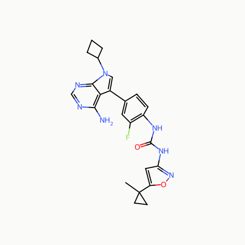 CC1(c2cc(NC(=O)Nc3ccc(-c4cn(C5CCC5)c5ncnc(N)c45)cc3F)no2)CC1